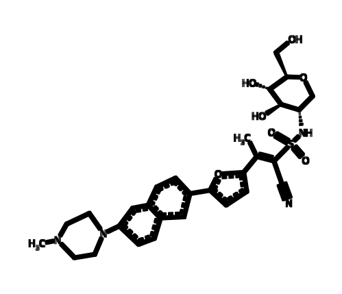 C/C(=C(/C#N)S(=O)(=O)N[C@H]1CO[C@H](CO)[C@@H](O)[C@@H]1O)c1ccc(-c2ccc3cc(N4CCN(C)CC4)ccc3c2)o1